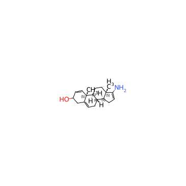 C[C@]12C=CC(O)CC1=CC[C@@H]1[C@@H]2CC[C@]2(C)C(N)=CC[C@@H]12